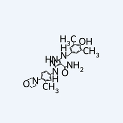 Cc1cc(Nc2n[nH]c(NCc3cc(C)c(O)c(C)c3)c2C(N)=O)ccc1N1CCOCC1